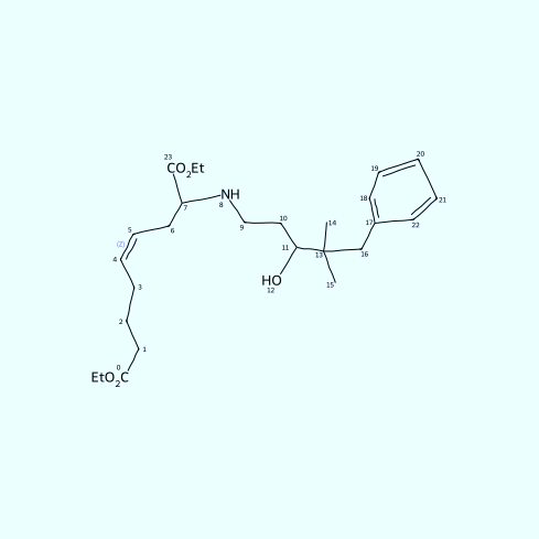 CCOC(=O)CCC/C=C\CC(NCCC(O)C(C)(C)Cc1ccccc1)C(=O)OCC